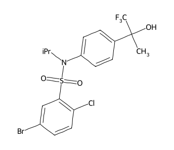 CC(C)N(c1ccc(C(C)(O)C(F)(F)F)cc1)S(=O)(=O)c1cc(Br)ccc1Cl